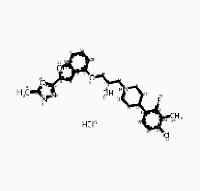 Cc1nnc(-c2cc3c(OC[C@@H](O)CN4CCC(c5ccc(Cl)c(C)c5F)CC4)cccc3o2)o1.Cl